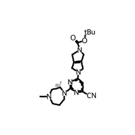 C[C@H]1CN(C)CCCN1c1nc(C#N)cc(N2CC3=C(CN(C(=O)OC(C)(C)C)C3)C2)n1